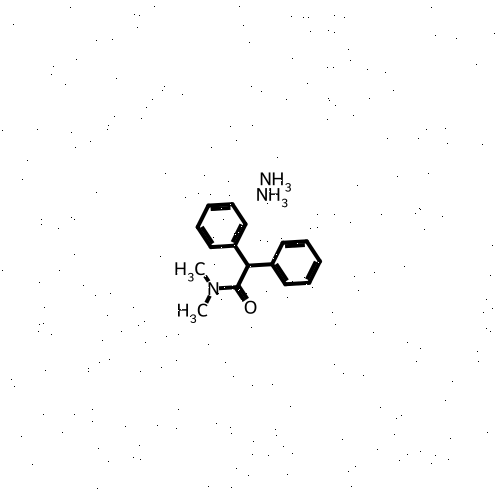 CN(C)C(=O)C(c1ccccc1)c1ccccc1.N.N